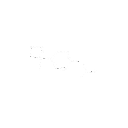 FC(F)Sc1ccc(C2(F)CCC2)cc1